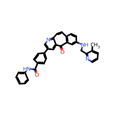 Cc1cccnc1CNc1ccc2ccc3ncc(-c4ccc(C(=O)Nc5ccccc5)cc4)cc3c(=O)c2c1